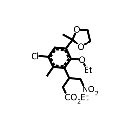 CCOC(=O)CC(C[N+](=O)[O-])c1c(C)c(Cl)cc(C2(C)OCCO2)c1OCC